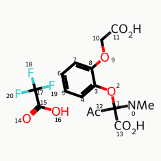 CNC(Oc1ccccc1OCC(=O)O)(C(C)=O)C(=O)O.O=C(O)C(F)(F)F